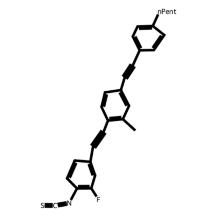 CCCCCc1ccc(C#Cc2ccc(C#Cc3ccc(N=C=S)c(F)c3)c(C)c2)cc1